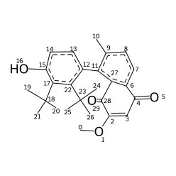 COC1=CC(=O)c2ccc(C)c(-c3ccc(O)c(C(C)(C)C)c3C(C)(C)C)c2C1=O